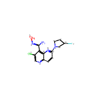 N/C(=N\O)c1c(Cl)cnc2ccc(N3CCC(F)C3)nc12